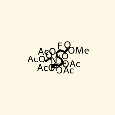 COC(=O)C1OC([C@H](OC(C)=O)[C@@H](COC(C)=O)OC(C)=O)[C@H](NC(=O)COC(C)=O)C(OC(C)=O)C1F